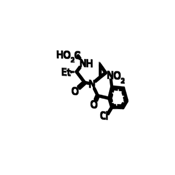 CC[C@H](NC(=O)O)C(=O)N(C(=O)c1c(Cl)cccc1[N+](=O)[O-])C1CC1